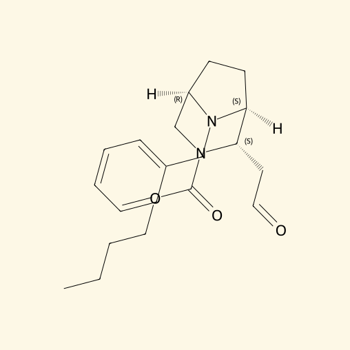 CCCCOC(=O)N1C[C@H]2CC[C@@H]([C@@H]1CC=O)N2Cc1ccccc1